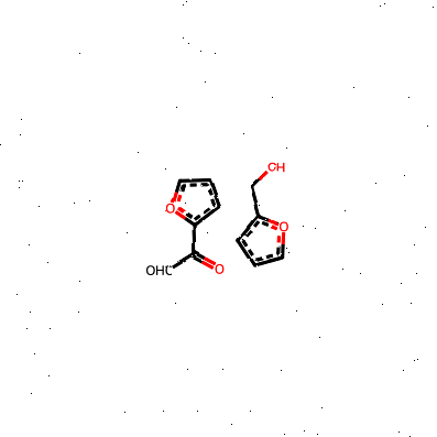 O=CC(=O)c1ccco1.OCc1ccco1